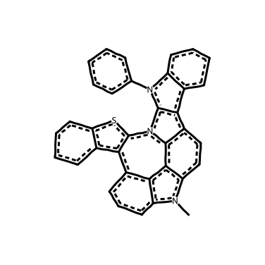 Cn1c2cccc3c2c2c1ccc1c4c5ccccc5n(-c5ccccc5)c4n(c4sc5ccccc5c34)c12